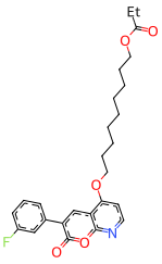 CCC(=O)OCCCCCCCCCOc1ccnc2oc(=O)c(-c3cccc(F)c3)cc12